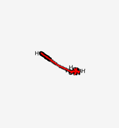 CC(C)(O)c1cnnn1[C@H]1C[C@@H](C(=O)NC2(C(=O)C(N)=O)CCCCC2)N(C(=O)[C@@H](CC2CCCCC2)NC(=O)c2ccc3cc(C(=O)NCCCCCCCCCCCCCCCCCCCCCCCCCCCCCCCCCCCCCCCCCCCCCCCCCOOOOOOOOOOOOOOOOOOOOOOOO)ccc3c2)C1